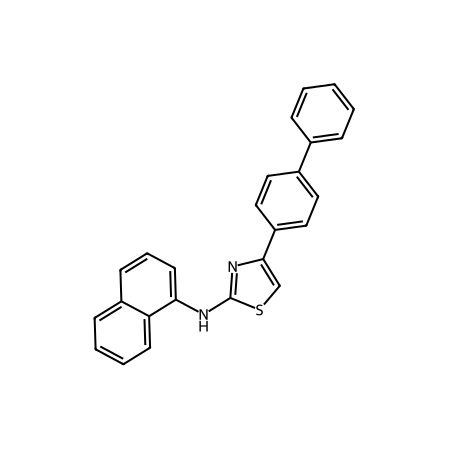 c1ccc(-c2ccc(-c3csc(Nc4cccc5ccccc45)n3)cc2)cc1